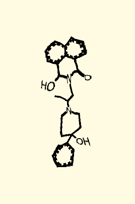 CC(CN1C(=O)c2cccc3cccc(c23)C1O)N1CCC(O)(c2ccccc2)CC1